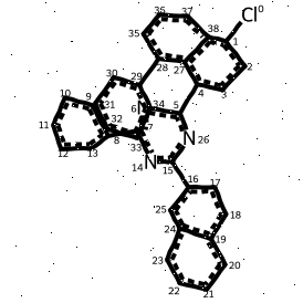 Clc1ccc(-c2nc(-c3ccccc3)nc(-c3ccc4ccccc4c3)n2)c2c(-c3ccccc3)cccc12